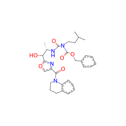 CC(C)CCN(C(=O)N[C@@H](C)C(O)c1nc(C(=O)N2CCCc3ccccc32)co1)C(=O)OCc1ccccc1